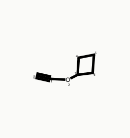 [C]#COC1CCC1